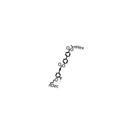 CCCCCCCCCCCCCOc1ccc(C#CC(=O)Oc2ccc(-c3ccc(C(=O)O[C@H](C)CCCCCC)cc3)cc2)cc1F